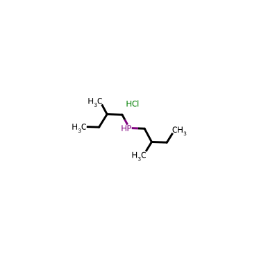 CCC(C)CPCC(C)CC.Cl